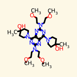 COCCN(CCOC)c1nc(N2CCC(C)(O)CC2)c2nc(N(CCOC)CCOC)nc(N3CCC(C)(O)CC3)c2n1